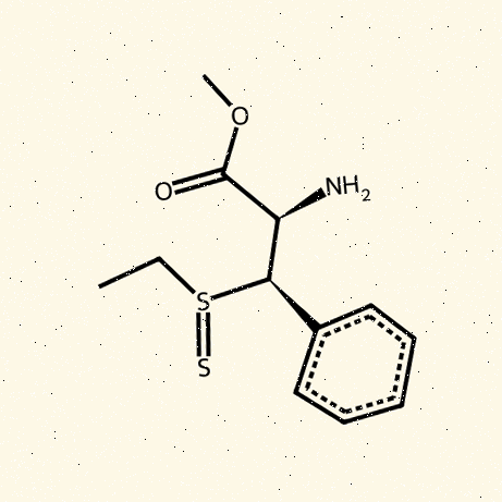 CCS(=S)[C@H](c1ccccc1)[C@H](N)C(=O)OC